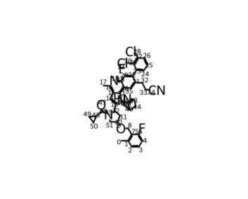 Cc1cccc(F)c1COC1CC(c2cc3c(C)nc4c(F)c(-c5cccc(Cl)c5Cl)c(CCC#N)cc4c3n2C2C3CNC2C3)N(C(=O)C2CC2)C1